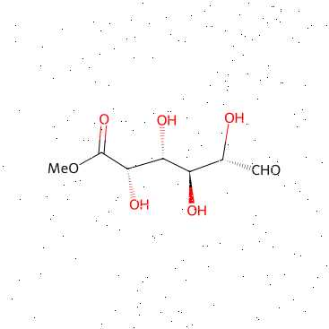 COC(=O)[C@@H](O)[C@H](O)[C@H](O)[C@H](O)C=O